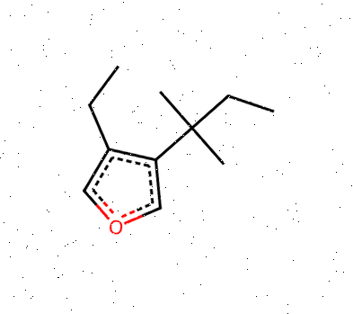 CCc1cocc1C(C)(C)CC